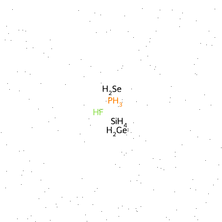 F.P.[GeH2].[SeH2].[SiH4]